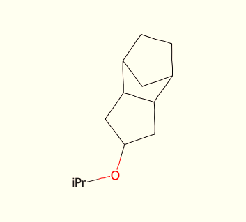 CC(C)OC1CC2C3CCC(C3)C2C1